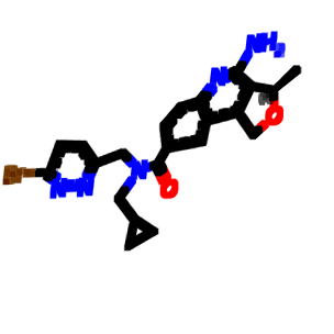 C[C@H]1OCc2c1c(N)nc1ccc(C(=O)N(Cc3ccc(Br)nn3)CC3CC3)cc21